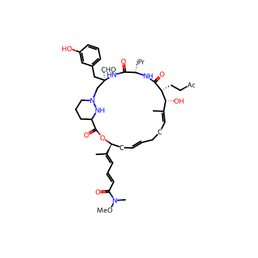 CON(C)C(=O)/C=C/C=C(\C)[C@@H]1C/C=C/CC/C=C(\C)[C@@H](O)[C@@H](CCC(C)=O)C(=O)N[C@@H](C(C)C)C(=O)N[C@](C=O)(Cc2cccc(O)c2)CN2CCCC(N2)C(=O)O1